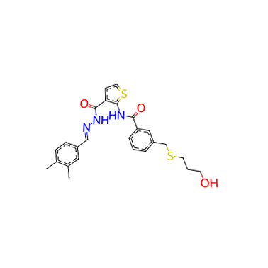 Cc1ccc(/C=N/NC(=O)c2ccsc2NC(=O)c2cccc(CSCCCO)c2)cc1C